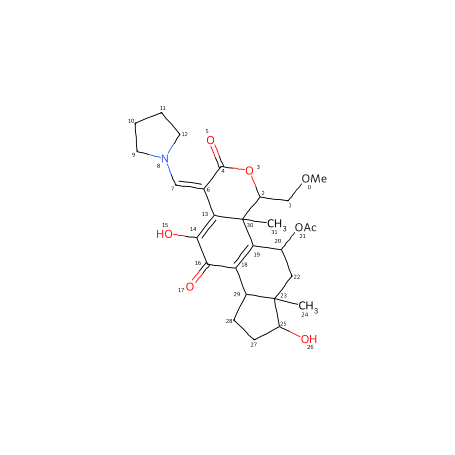 COCC1OC(=O)C(=CN2CCCC2)C2=C(O)C(=O)C3=C(C(OC(C)=O)CC4(C)C(O)CCC34)C21C